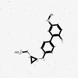 CC(C)Oc1ccc(F)c(-c2ccc(C[C@@H]3C[C@@H]3CC(=O)O)cc2)c1